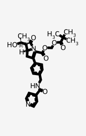 C[C@@H](O)[C@H]1C(=O)N2C(C(=O)OCOC(=O)C(C)(C)C)=C(c3ccc(CNC(=O)c4ccncc4)cc3)C[C@H]12